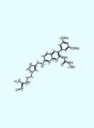 COc1cc(OC)cc(-c2cc3cnc(NCc4cn(CCN/C(N)=N/Cl)nn4)nc3nc2NC(=O)NC(C)(C)C)c1